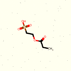 CCC(=O)OCCS(=O)(=O)O